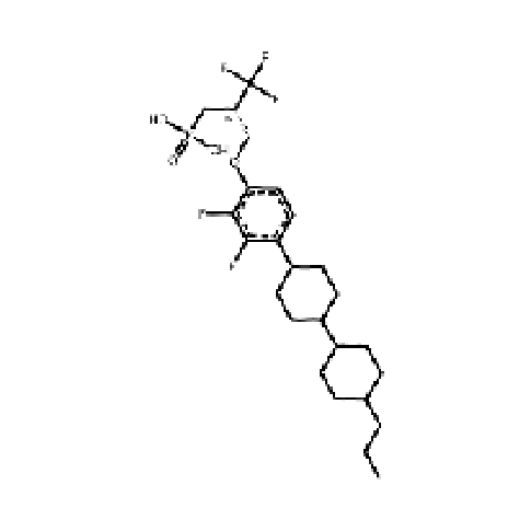 CCCC1CCC(C2CCC(c3ccc(OC[C@H](CP(=O)(O)O)C(F)(F)F)c(F)c3F)CC2)CC1